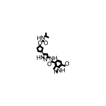 CC(C)NC(=O)O[C@@H]1CC[C@H](c2cc(NC(=O)c3ccc(C=O)c4[nH]ncc34)n[nH]2)C1